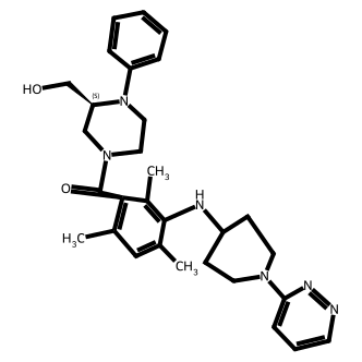 Cc1cc(C)c(C(=O)N2CCN(c3ccccc3)[C@H](CO)C2)c(C)c1NC1CCN(c2cccnn2)CC1